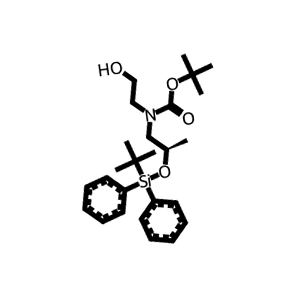 C[C@H](CN(CCO)C(=O)OC(C)(C)C)O[Si](c1ccccc1)(c1ccccc1)C(C)(C)C